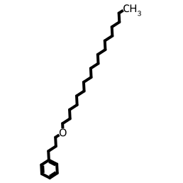 CCCCCCCCCCCCCCCCCCOCCCc1ccccc1